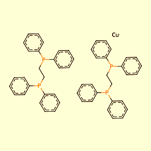 [Cu].c1ccc(P(CCP(c2ccccc2)c2ccccc2)c2ccccc2)cc1.c1ccc(P(CCP(c2ccccc2)c2ccccc2)c2ccccc2)cc1